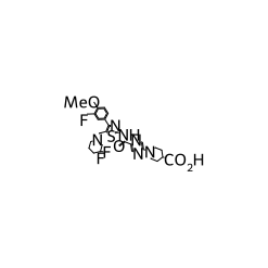 COc1ccc(-c2nc(NC(=O)c3cnc(N4CCC(C(=O)O)CC4)cn3)sc2CN2CCCC(F)(F)C2)cc1CF